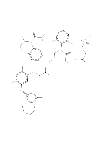 CC1COc2ccccc2N1C(=O)C(Cl)Cl.CCOCN(C(=O)CCl)c1c(C)cccc1CC.COC(=O)CSc1cc(/N=c2\sc(=O)n3n2CCCC3)c(F)cc1Cl.CP(=O)(O)CCC(N)C(=O)O